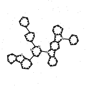 c1ccc(-c2ccc(-c3nc(-c4cccc5c4sc4ccccc45)cc(-n4c5ccccc5c5cc6c(cc54)c4ccccc4n6-c4ccccc4)n3)cc2)cc1